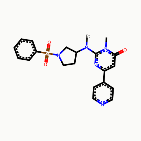 CCN(c1nc(-c2ccncc2)cc(=O)n1C)C1CCN(S(=O)(=O)c2ccccc2)C1